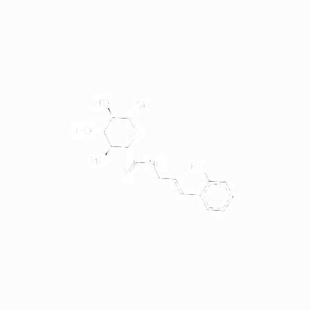 O=C(NCC=Cc1ccccc1O)[C@H]1O[C@@H](O)[C@H](O)[C@@H](O)[C@@H]1O